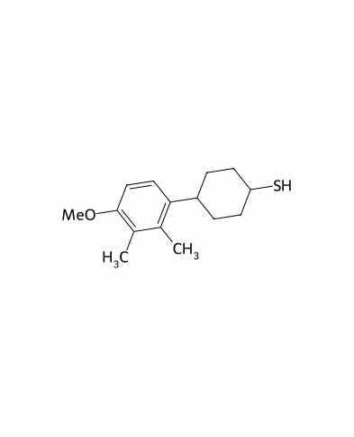 COc1ccc(C2CCC(S)CC2)c(C)c1C